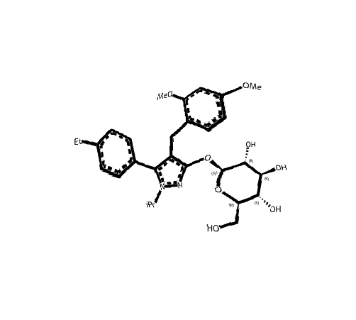 CCc1ccc(-c2c(Cc3ccc(OC)cc3OC)c(O[C@@H]3O[C@H](CO)[C@@H](O)[C@H](O)[C@H]3O)nn2C(C)C)cc1